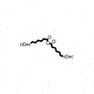 CCCCCCCCCCCCCCCC(=O)OC([O])CCCCCCCCCCCCCCC